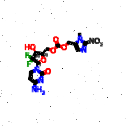 Cn1c(COC(=O)OC[C@H]2O[C@@H](n3ccc(N)nc3=O)C(F)(F)[C@@H]2O)cnc1[N+](=O)[O-]